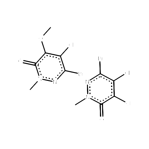 COc1c(Cl)c(Br)nn(C)c1=O.Cn1nc(Br)c(Cl)c(Cl)c1=O